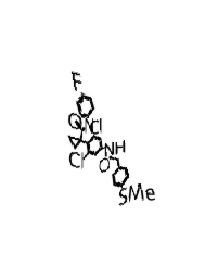 CSc1ccc(CC(=O)Nc2cc(Cl)c(C3(c4nc5ccc(F)cc5o4)CC3)c(Cl)c2)cc1